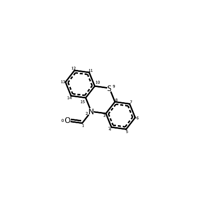 O=CN1c2[c]cccc2Sc2ccccc21